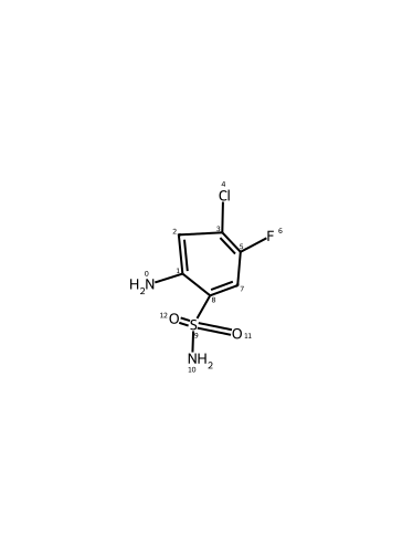 Nc1cc(Cl)c(F)cc1S(N)(=O)=O